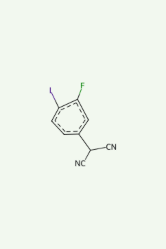 N#CC(C#N)c1ccc(I)c(F)c1